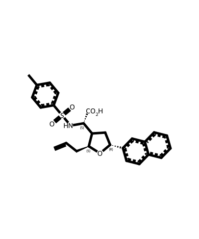 C=CC[C@@H]1O[C@@H](c2ccc3ccccc3c2)CC1[C@H](NS(=O)(=O)c1ccc(C)cc1)C(=O)O